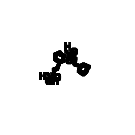 O=C(C=Cc1cccc(NS(=O)(=O)C=Cc2ccccc2)c1)NO